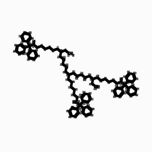 CCC(CCCCCCNC(c1ccccc1)(c1ccccc1)c1ccccc1)COCOCC(CCCCCCNC(c1ccccc1)(c1ccccc1)c1ccccc1)COCOCC(CO)CCCCCCNC(c1ccccc1)(c1ccccc1)c1ccccc1